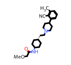 COCC(=O)N[C@H]1CC[C@H](CCN2CCC(c3cccc(C)c3C#N)CC2)CC1